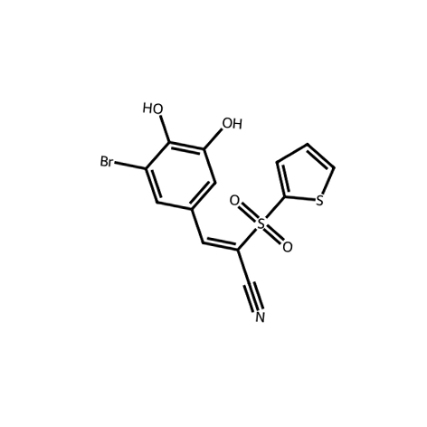 N#C/C(=C/c1cc(O)c(O)c(Br)c1)S(=O)(=O)c1cccs1